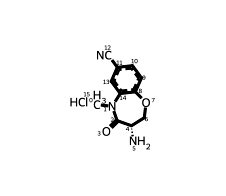 CN1C(=O)[C@@H](N)COc2ccc(C#N)cc21.Cl